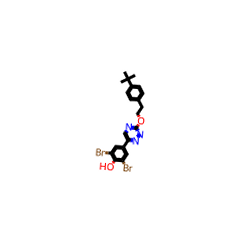 CC(C)(C)c1ccc(CCOc2ncc(-c3cc(Br)c(O)c(Br)c3)nn2)cc1